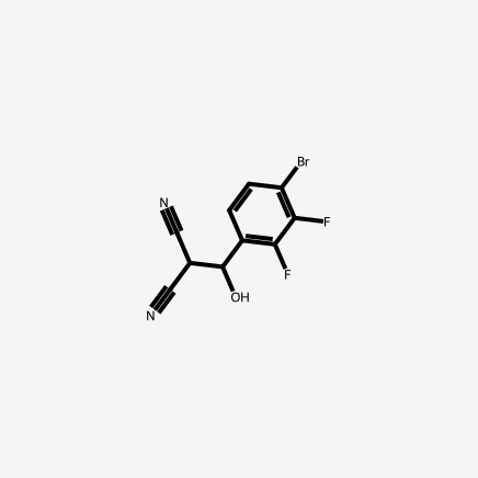 N#CC(C#N)C(O)c1ccc(Br)c(F)c1F